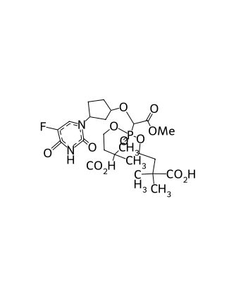 COC(=O)C(OC1CCC(n2cc(F)c(=O)[nH]c2=O)C1)P(=O)(OCCC(C)(C)C(=O)O)OCCC(C)(C)C(=O)O